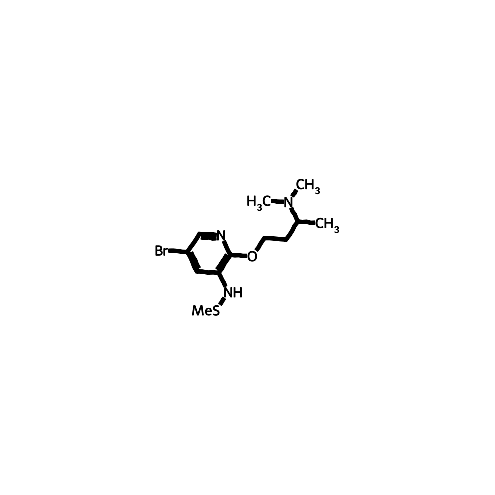 CSNc1cc(Br)cnc1OCCC(C)N(C)C